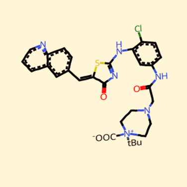 CC(C)(C)[N+]1(C(=O)[O-])CCN(CC(=O)Nc2ccc(Cl)c(NC3=NC(=O)/C(=C/c4ccc5ncccc5c4)S3)c2)CC1